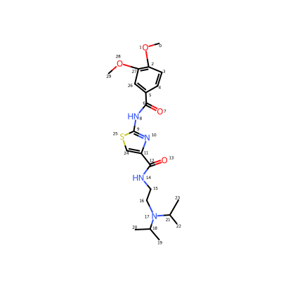 COc1ccc(C(=O)Nc2nc(C(=O)NCCN(C(C)C)C(C)C)cs2)cc1OC